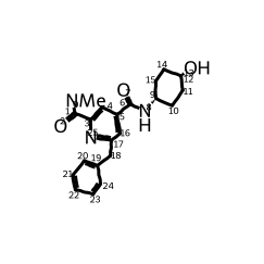 CNC(=O)c1cc(C(=O)N[C@H]2CC[C@H](O)CC2)cc(Cc2ccccc2)n1